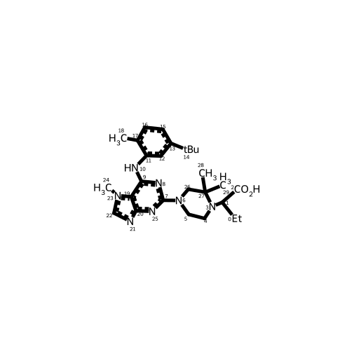 CCC(C(=O)O)N1CCN(c2nc(Nc3cc(C(C)(C)C)ccc3C)c3c(ncn3C)n2)CC1(C)C